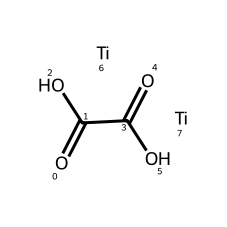 O=C(O)C(=O)O.[Ti].[Ti]